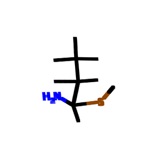 CSC(C)(N)C(C)(C)C(C)(C)C